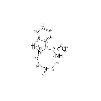 CN1CCNCC(c2ccccc2)[N]([Ti+2])CC1.[Cl-].[Cl-]